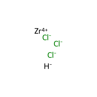 [Cl-].[Cl-].[Cl-].[H-].[Zr+4]